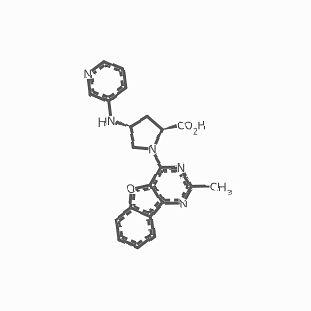 Cc1nc(N2C[C@@H](Nc3cccnc3)C[C@H]2C(=O)O)c2oc3ccccc3c2n1